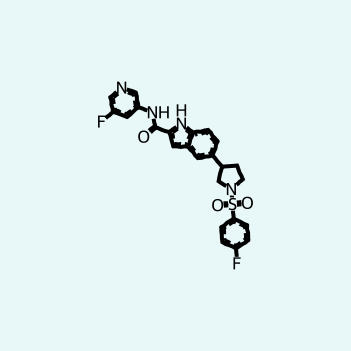 O=C(Nc1cncc(F)c1)c1cc2cc(C3CCN(S(=O)(=O)c4ccc(F)cc4)C3)ccc2[nH]1